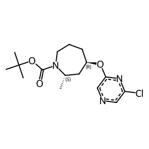 C[C@H]1C[C@H](Oc2cncc(Cl)n2)CCCN1C(=O)OC(C)(C)C